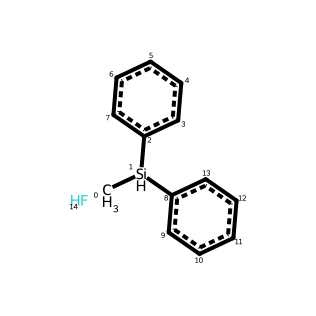 C[SiH](c1ccccc1)c1ccccc1.F